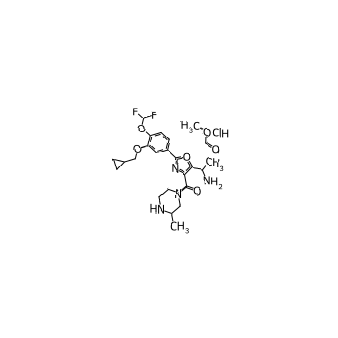 CC1CN(C(=O)c2nc(-c3ccc(OC(F)F)c(OCC4CC4)c3)oc2C(C)N)CCN1.COC=O.Cl